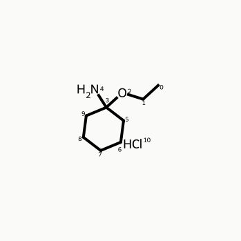 CCOC1(N)CCCCC1.Cl